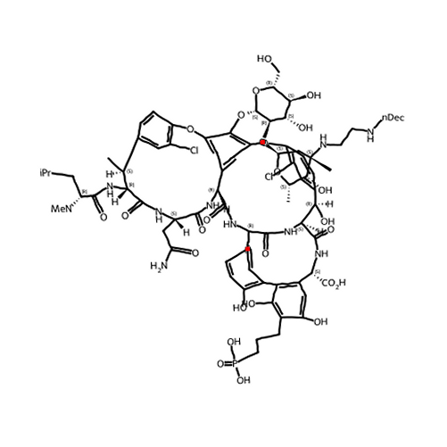 CCCCCCCCCCNCCN[C@@]1(C)C[C@H](O[C@H]2[C@H](Oc3c4cc5cc3Oc3ccc(cc3Cl)[C@H](C)[C@@H](NC(=O)[C@@H](CC(C)C)NC)C(=O)N[C@@H](CC(N)=O)C(=O)N[C@H]5C(=O)N[C@H]3C(=O)N[C@H](C(=O)N[C@H](C(=O)O)c5cc(O)c(CCCP(=O)(O)O)c(O)c5-c5cc3ccc5O)[C@H](O)c3ccc(c(Cl)c3)O4)O[C@H](CO)[C@@H](O)[C@@H]2O)O[C@@H](C)[C@H]1O